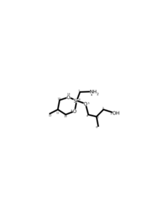 CC(CO)CO[Si]1(CN)OCC(C)CO1